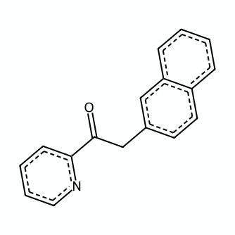 O=C(Cc1ccc2ccccc2c1)c1ccccn1